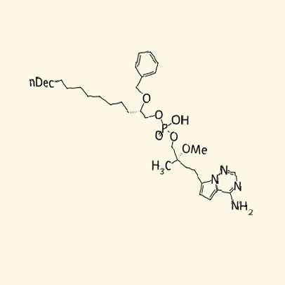 CCCCCCCCCCCCCCCCCC[C@@H](COP(=O)(O)OC[C@](C)(CCc1ccc2c(N)ncnn12)OC)OCc1ccccc1